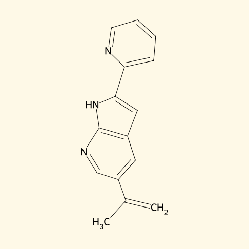 C=C(C)c1cnc2[nH]c(-c3ccccn3)cc2c1